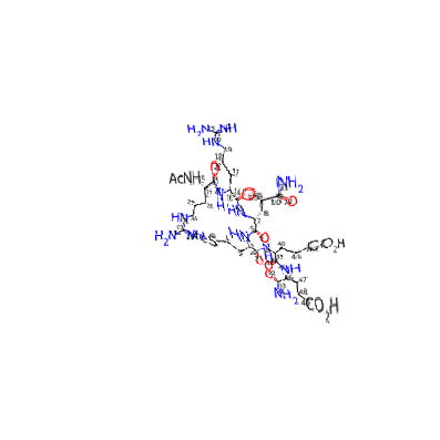 CSCC[C@@H](NC(=O)[C@@H](CCC(N)=O)NC(=O)[C@H](CCCNC(=N)N)NC(=O)[C@H](CCCNC(=N)N)NC(C)=O)C(=O)N[C@@H](CCC(=O)O)C(=O)N[C@@H](CCC(=O)O)C(N)=O